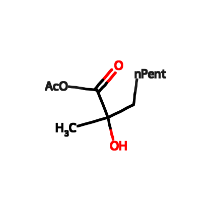 CCCCCCC(C)(O)C(=O)OC(C)=O